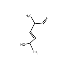 CC(O)C=CC(C)C=O